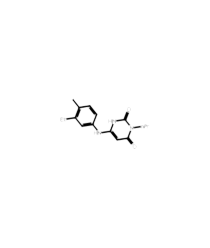 CCCn1c(=O)cc(Nc2ccc(C)c(CC)c2)[nH]c1=O